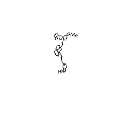 COc1ccc(C=CC(=O)CC(=O)C=Cc2ccc3cc[nH]c3c2)c(OCc2ccccn2)c1